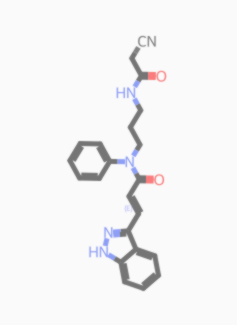 N#CCC(=O)NCCCN(C(=O)/C=C/c1n[nH]c2ccccc12)c1ccccc1